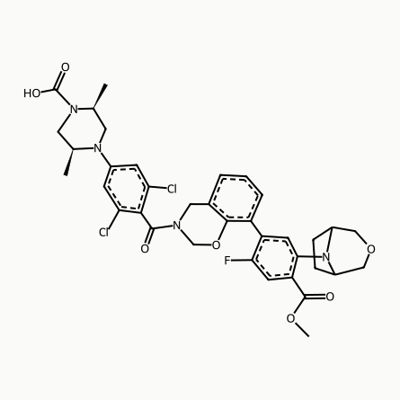 COC(=O)c1cc(F)c(-c2cccc3c2OCN(C(=O)c2c(Cl)cc(N4C[C@H](C)N(C(=O)O)C[C@@H]4C)cc2Cl)C3)cc1N1C2CCC1COC2